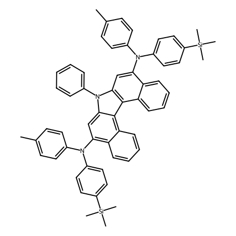 Cc1ccc(N(c2ccc([Si](C)(C)C)cc2)c2cc3c(c4ccccc24)c2c4ccccc4c(N(c4ccc(C)cc4)c4ccc([Si](C)(C)C)cc4)cc2n3-c2ccccc2)cc1